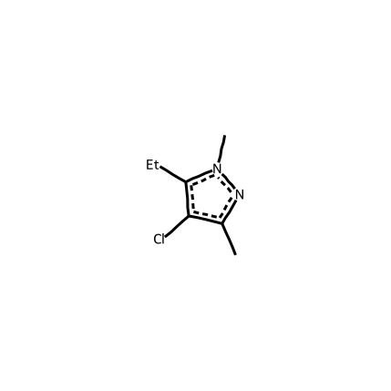 CCc1c(Cl)c(C)nn1C